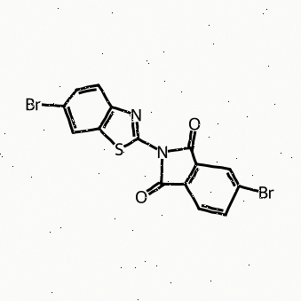 O=C1c2ccc(Br)cc2C(=O)N1c1nc2ccc(Br)cc2s1